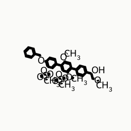 COCC(O)c1ccc(-c2cc(OC)c(-c3ccc(OCc4ccccc4)c(OS(C)(=O)=O)c3)c(OS(C)(=O)=O)c2OC)cc1